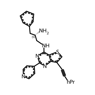 CCCC#Cc1csc2c(NC[C@@H](N)Cc3ccccc3)nc(-c3ccncc3)nc12